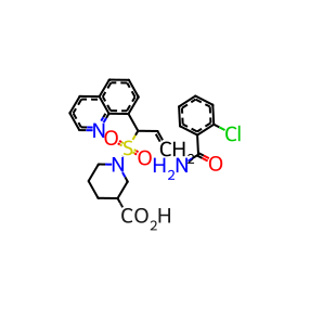 C=CC(c1cccc2cccnc12)S(=O)(=O)N1CCCC(C(=O)O)C1.NC(=O)c1ccccc1Cl